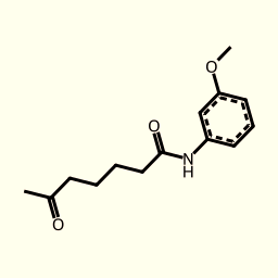 COc1cccc(NC(=O)CCCCC(C)=O)c1